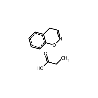 C1=NOc2ccccc2C1.CCC(=O)O